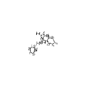 Cc1nc(NCc2cnccn2)c2ccccc2n1